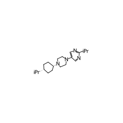 CC(C)c1ncc(N2CCN([C@H]3CC[C@@H](C(C)C)CC3)CC2)cn1